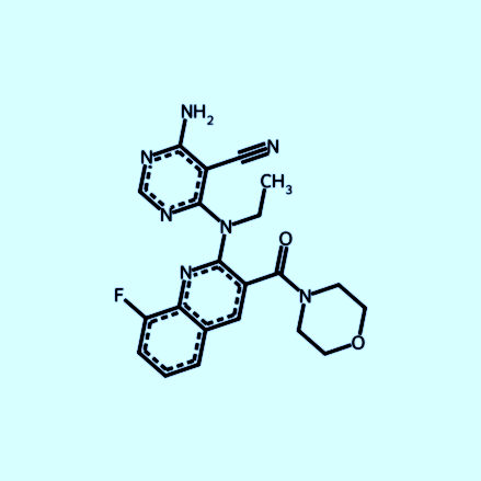 CCN(c1nc2c(F)cccc2cc1C(=O)N1CCOCC1)c1ncnc(N)c1C#N